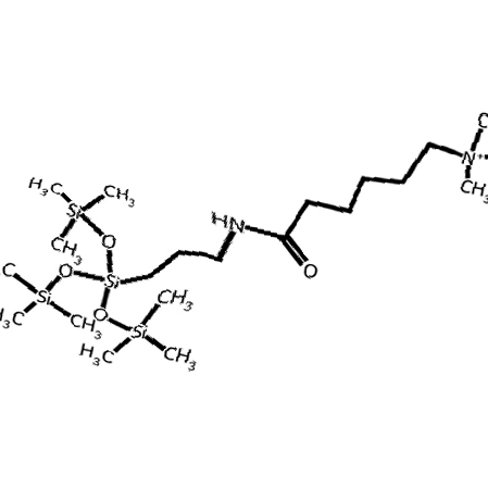 C[N+](C)(C)CCCCCC(=O)NCCC[Si](O[Si](C)(C)C)(O[Si](C)(C)C)O[Si](C)(C)C